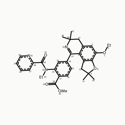 CCOc1cc2c(c3c1OC(C)(C)C3)C(c1ccc(C(=O)OC)c(N(CC)C(=O)c3ccccn3)c1)=NC(C)(C)C2